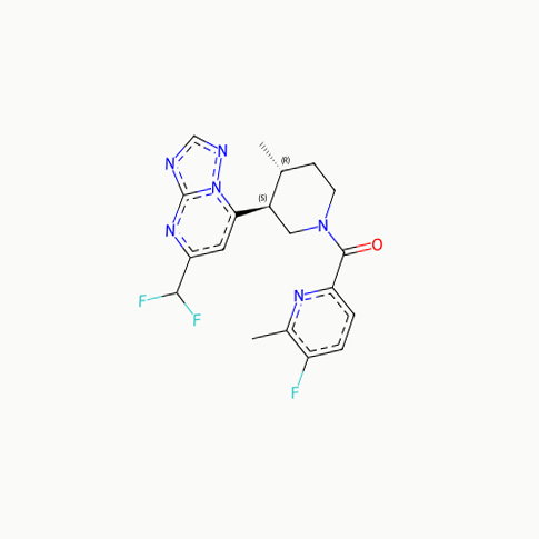 Cc1nc(C(=O)N2CC[C@@H](C)[C@H](c3cc(C(F)F)nc4ncnn34)C2)ccc1F